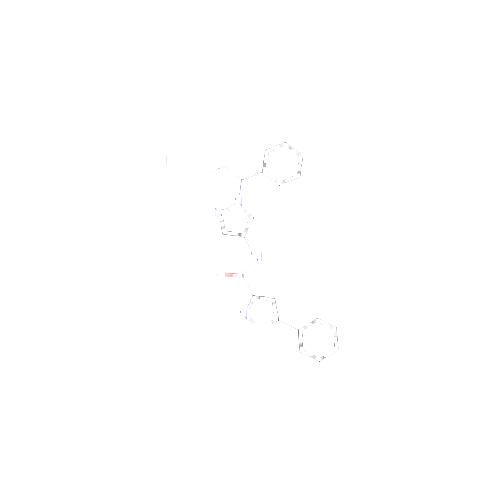 CSCC(c1ccccc1)n1cc(NC(=O)c2cc(-c3ccccc3)on2)cn1